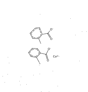 Cc1ccccc1C(=O)[O-].Cc1ccccc1C(=O)[O-].[Co+2]